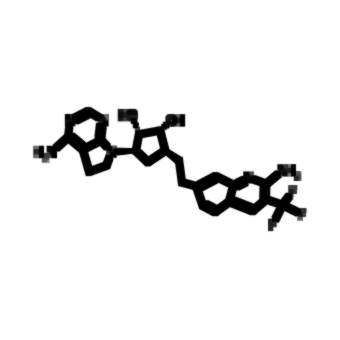 Nc1nc2cc(CC[C@H]3C[C@@H](N4CCc5c(N)ncnc54)[C@H](O)[C@@H]3O)ccc2cc1C(F)(F)F